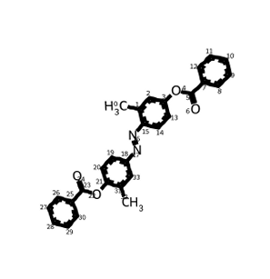 Cc1cc(OC(=O)c2ccccc2)ccc1/N=N/c1ccc(OC(=O)c2ccccc2)c(C)c1